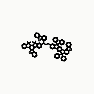 CC1(C)c2ccccc2-c2c1c1c(c3c2oc2ccccc23)-c2ccc(C(CCc3ccc4c(c3)C(c3ccccc3)(c3ccccc3)c3cc5c(cc3-4)C(c3ccccc3)(c3ccccc3)c3ccc4oc6ccccc6c4c3-5)c3cccc4c3oc3ccccc34)cc2C1(C)C